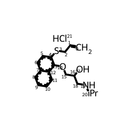 C=CCSc1ccc2ccccc2c1OCC(O)CNC(C)C.Cl